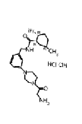 CC(C)[C@@H]1CC[C@@H](C)C[C@H]1C(=O)NCc1cccc(N2CCN(C(=O)CN)CC2)c1.Cl.Cl